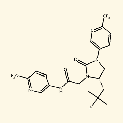 CC(C)(F)C[C@H]1CN(c2ccc(C(F)(F)F)nc2)C(=O)N1CC(=O)Nc1ccc(C(F)(F)F)nc1